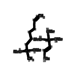 C=CCCCC[Si](C)(OC)OC.CCCCC=C[Si](OC)(OC)OC